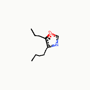 CCCc1ncoc1CC